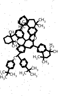 CC(C)(C)c1ccc(CC(c2ccc(C(C)(C)C)cc2)c2cc3c4c(c2)N2c5c(cc(-c6ccccc6)cc5C5(C)CCCCC25C)C4c2c(oc4cc5c(cc24)C(C)(C)CCC5(C)C)C(c2ccc4c(c2)C(C)(C)CCC4(C)C)=C3)cc1